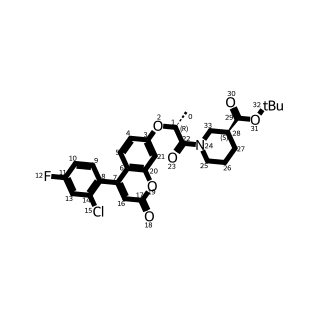 C[C@@H](Oc1ccc2c(-c3ccc(F)cc3Cl)cc(=O)oc2c1)C(=O)N1CCC[C@H](C(=O)OC(C)(C)C)C1